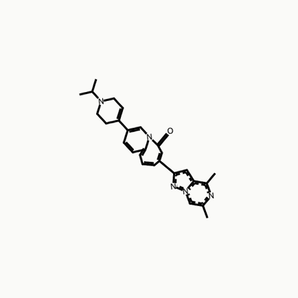 Cc1cn2nc(C3=C\C(=O)N4C=C(C5=CCN(C(C)C)CC5)C=C\C4=C/C=C/3)cc2c(C)n1